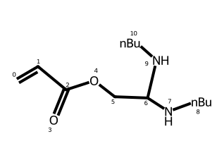 C=CC(=O)OCC(NCCCC)NCCCC